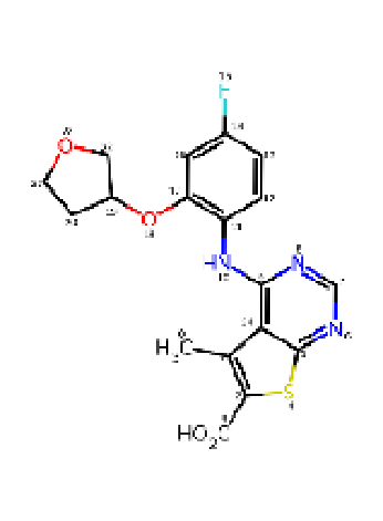 Cc1c(C(=O)O)sc2ncnc(Nc3ccc(F)cc3OC3CCOC3)c12